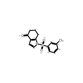 O=C1CCCc2c1ccn2S(=O)(=O)c1cccc(Cl)c1